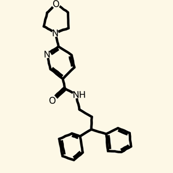 O=C(NCCC(c1ccccc1)c1ccccc1)c1ccc(N2CCOCC2)nc1